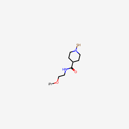 CC(C)OCCNC(=O)C1CCN(S)CC1